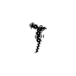 CCCCCCCCc1ccc(C(=O)Nc2ccc(CN(Cc3ccc(C(F)(F)F)cc3)C(=O)C(=O)OCC)cc2)cc1